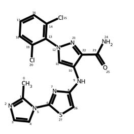 Cc1nccn1-c1nc(Nc2cn(-c3c(Cl)cccc3Cl)nc2C(N)=O)cs1